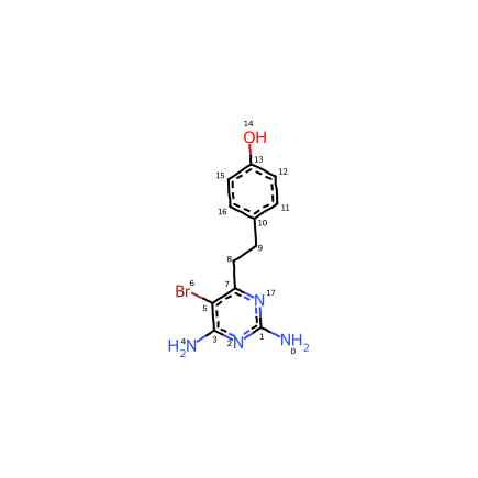 Nc1nc(N)c(Br)c(CCc2ccc(O)cc2)n1